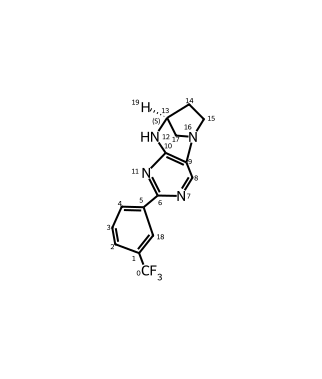 FC(F)(F)c1cccc(-c2ncc3c(n2)N[C@H]2CCN3C2)c1